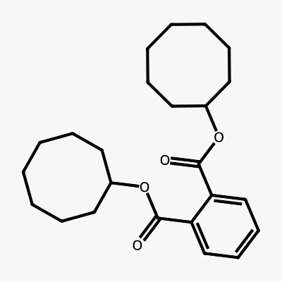 O=C(OC1CCCCCCC1)c1ccccc1C(=O)OC1CCCCCCC1